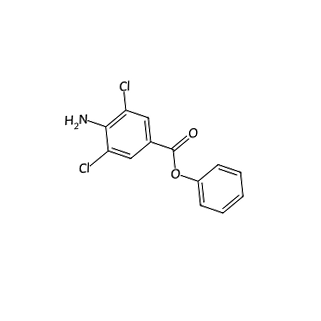 Nc1c(Cl)cc(C(=O)Oc2ccccc2)cc1Cl